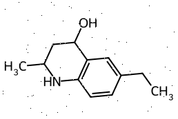 CCc1ccc2c(c1)C(O)CC(C)N2